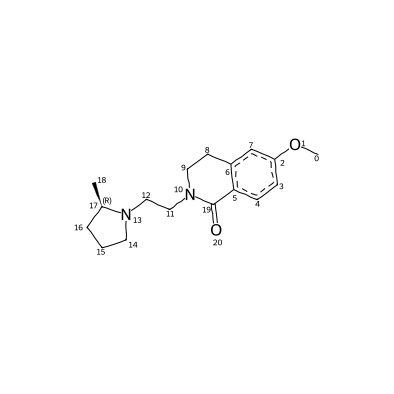 COc1ccc2c(c1)CCN(CCN1CCC[C@H]1C)C2=O